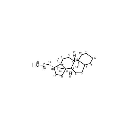 C[C@]12CC[C@H]3[C@@H](CCC4CCCC[C@@]43C)[C@@H]1CC[C@@H]2CCO